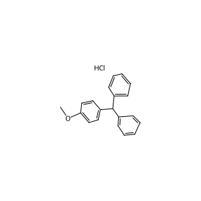 COc1ccc(C(c2ccccc2)c2ccccc2)cc1.Cl